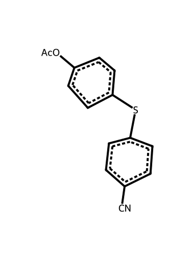 CC(=O)Oc1ccc(Sc2ccc(C#N)cc2)cc1